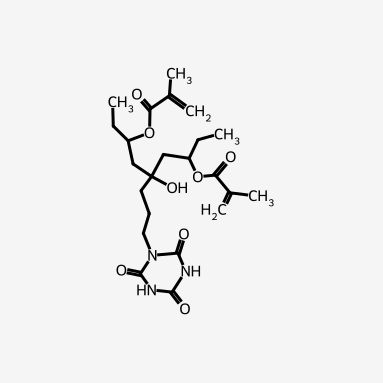 C=C(C)C(=O)OC(CC)CC(O)(CCCn1c(=O)[nH]c(=O)[nH]c1=O)CC(CC)OC(=O)C(=C)C